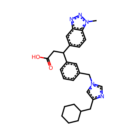 Cn1nnc2cc(C(CC(=O)O)c3cccc(Cn4cnc(CC5CCCCC5)c4)c3)ccc21